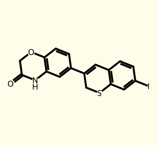 O=C1COc2ccc(C3=Cc4ccc(I)cc4SC3)cc2N1